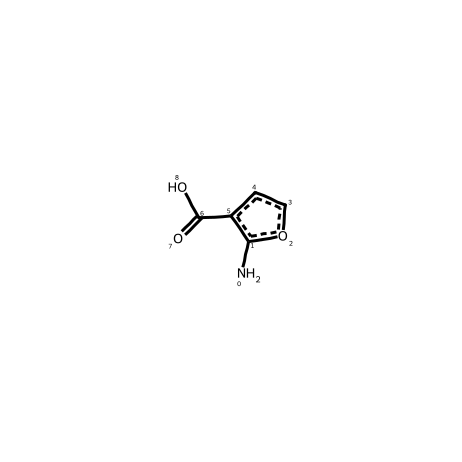 Nc1occc1C(=O)O